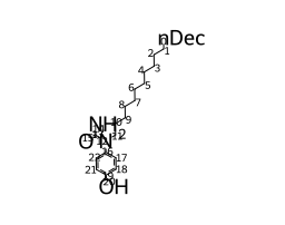 CCCCCCCCCCCCCCCCCCCCCN(C(N)=O)c1ccc(O)cc1